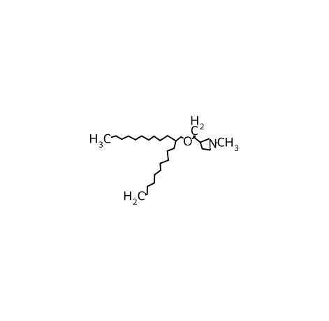 C=CCCCCCCCCC(CCCCCCCCCC)COC(=C)C1CCN(C)C1